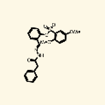 COc1ccc(OC)c(S(=O)(=O)Oc2ccccc2C=NNC(=O)Cc2ccccc2)c1